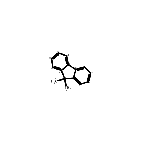 CCCCC1(C)c2ccccc2-c2ccccc21